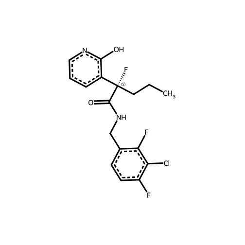 CCC[C@@](F)(C(=O)NCc1ccc(F)c(Cl)c1F)c1cccnc1O